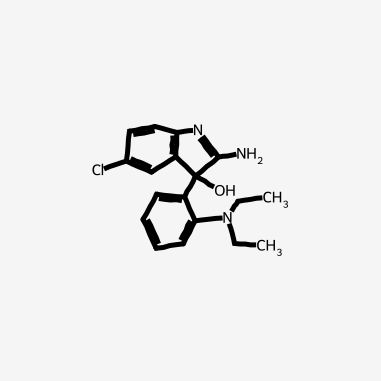 CCN(CC)c1ccccc1C1(O)C(N)=Nc2ccc(Cl)cc21